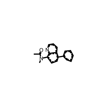 CC(=O)N(C)c1ccc(-c2ccccc2)c2cccnc12